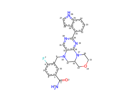 NC(=O)c1ccc(F)c(CN2CC3COCCN3c3nc(-c4cccc5[nH]ccc45)ncc32)c1